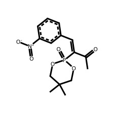 CC(=O)C(=Cc1cccc([N+](=O)[O-])c1)P1(=O)OCC(C)(C)CO1